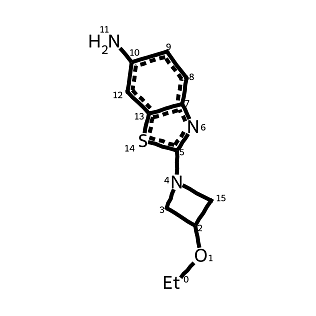 CCOC1CN(c2nc3ccc(N)cc3s2)C1